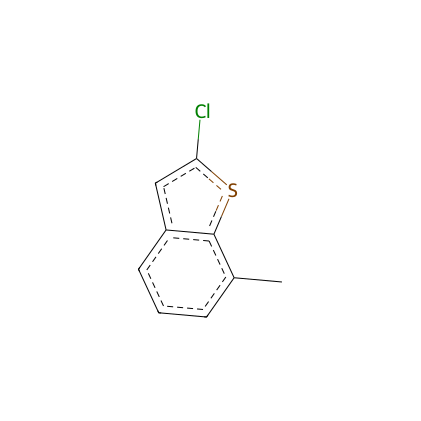 Cc1cccc2cc(Cl)sc12